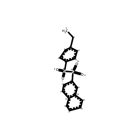 CCc1ccc(S(=O)(=O)S(=O)(=O)c2ccc3ccccc3c2)cc1